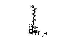 O=C(O)Nc1ccccc1NC(=O)CCCCCCCCCBr